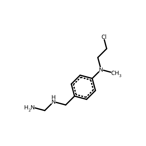 CN(CCCl)c1ccc(CNCN)cc1